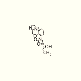 C=CC(O)[C@H]1CN(c2cccc3c2OCC2=NC=C[N+]23)C(=O)O1